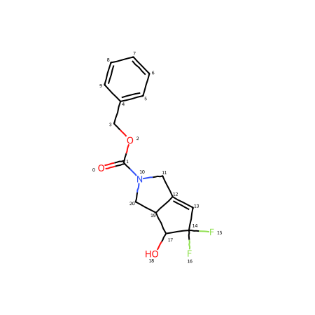 O=C(OCc1ccccc1)N1CC2=CC(F)(F)C(O)C2C1